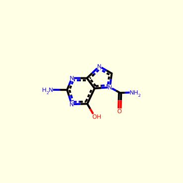 NC(=O)n1cnc2nc(N)nc(O)c21